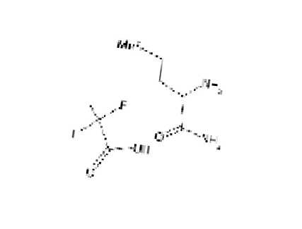 CSCCC(N)C(N)=O.O=C(O)C(F)(F)F